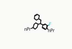 CCCc1ccc(C(CC2CC=CCC2)C2CCC(CCC)CC2)cc1F